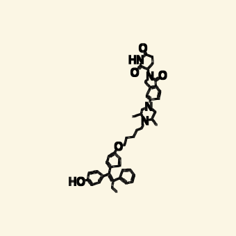 CCC(=C(c1ccc(O)cc1)c1ccc(OCCCCCN2C(C)CN(c3ccc4c(c3)CN(C3CCC(=O)NC3=O)C4=O)CC2C)cc1)c1ccccc1